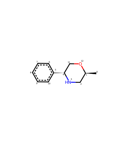 C[C@H]1CN[C@H](c2ccccc2)CO1